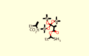 C=C(C(=O)OC([SiH3])CC)C(O[Si](C)(C)C)(O[Si](C)(C)C)O[Si](C)(C)C.C=C(CC)C(=O)O